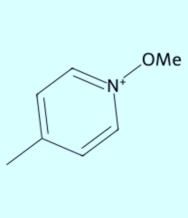 CO[n+]1ccc(C)cc1